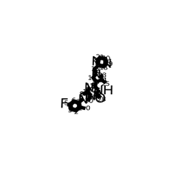 Cc1ccc(F)cc1N1C=C2N=C(C3CN(Cc4cnccn4)CC3C)NC(=O)N2C1